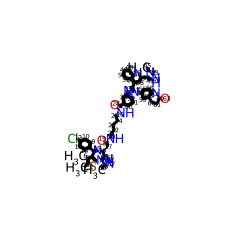 Cc1sc2c(c1C)C(c1ccc(Cl)cc1)=N[C@@H](CC(=O)NCCCCCNC(=O)c1ccc3c(c1)nc(-c1cc(-c4cncn4C)nc4ccccc14)n3-c1ccc3c(c1)CCC(=O)N3)c1nnc(C)n1-2